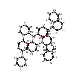 c1ccc(-c2ccc(-c3ccccc3N(c3ccc(-c4cccc5ccccc45)cc3)c3ccccc3-c3cccc4oc5ccccc5c34)cc2)cc1